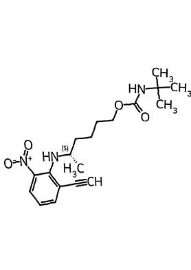 C#Cc1cccc([N+](=O)[O-])c1N[C@@H](C)CCCCOC(=O)NC(C)(C)C